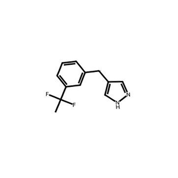 CC(F)(F)c1cccc([CH]c2cn[nH]c2)c1